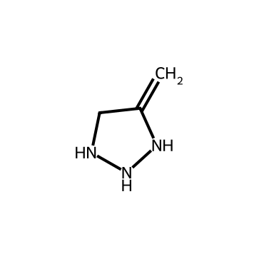 C=C1CNNN1